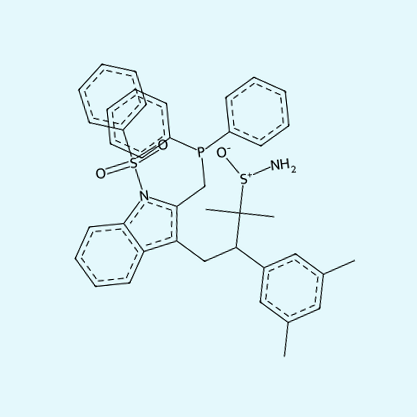 Cc1cc(C)cc(C(Cc2c(CP(c3ccccc3)c3ccccc3)n(S(=O)(=O)c3ccccc3)c3ccccc23)C(C)(C)[S+](N)[O-])c1